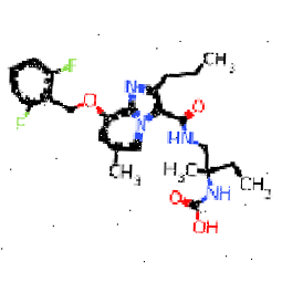 CCCc1nc2c(OCc3c(F)cccc3F)cc(C)cn2c1C(=O)NCC(C)(CC)NC(=O)O